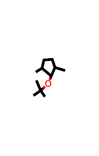 CC1CCC(C)C1OC(C)(C)C